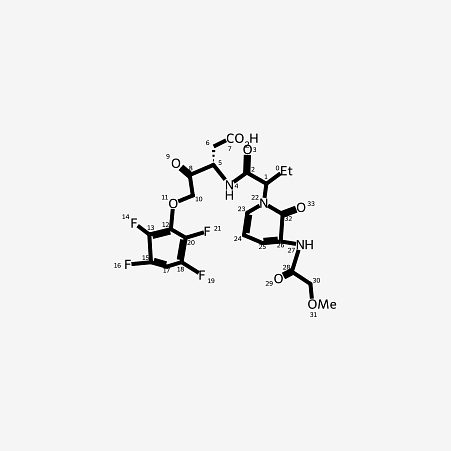 CCC(C(=O)N[C@@H](CC(=O)O)C(=O)COc1c(F)c(F)cc(F)c1F)n1cccc(NC(=O)COC)c1=O